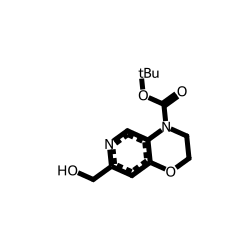 CC(C)(C)OC(=O)N1CCOc2cc(CO)ncc21